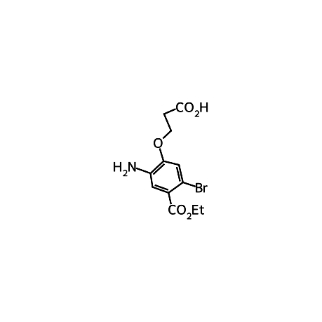 CCOC(=O)c1cc(N)c(OCCC(=O)O)cc1Br